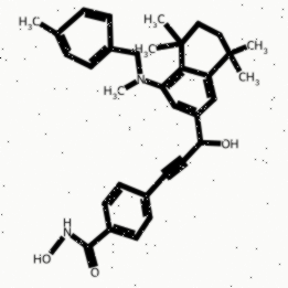 Cc1ccc(CN(C)c2cc(C(O)C#Cc3ccc(C(=O)NO)cc3)cc3c2C(C)(C)CCC3(C)C)cc1